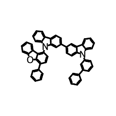 c1ccc(-c2cccc(-n3c4ccccc4c4cc(-c5ccc6c7ccccc7n(-c7ccc(-c8ccccc8)c8oc9ccccc9c78)c6c5)ccc43)c2)cc1